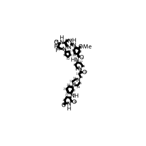 COc1cc(C(=O)NC2CCN(C(=O)CCN3CCN(c4cccc(NC5CCC(=O)NC5=O)c4)CC3)CC2)ccc1Nc1ncc2c(n1)N(C1CCCC1)CC(F)(F)C(=O)N2